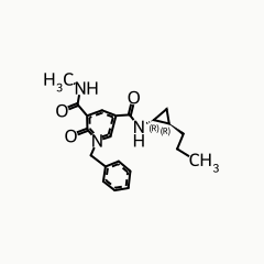 CCC[C@@H]1C[C@H]1NC(=O)c1cc(C(=O)NC)c(=O)n(Cc2ccccc2)c1